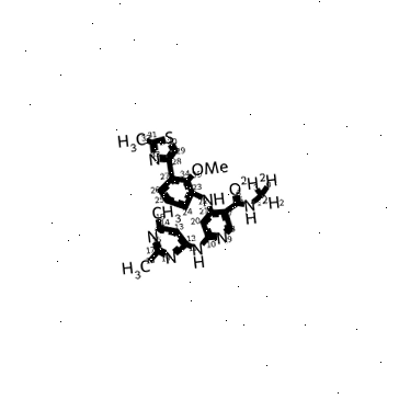 [2H]C([2H])([2H])NC(=O)c1cnc(Nc2cc(C)nc(C)n2)cc1Nc1cccc(-c2csc(C)n2)c1OC